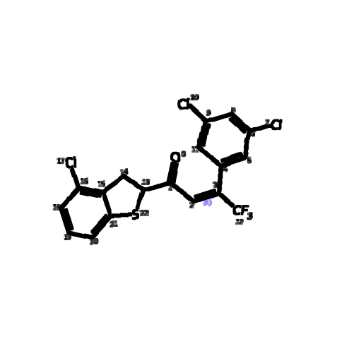 O=C(/C=C(\c1cc(Cl)cc(Cl)c1)C(F)(F)F)C1Cc2c(Cl)cccc2S1